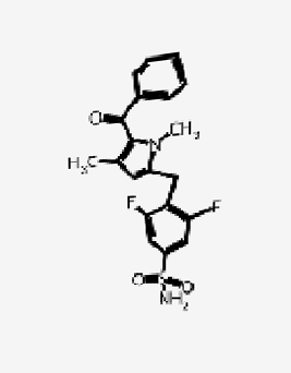 Cc1cc(Cc2c(F)cc(S(N)(=O)=O)cc2F)n(C)c1C(=O)c1ccccc1